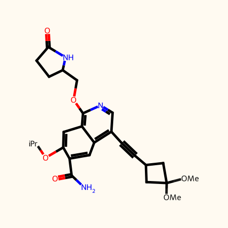 COC1(OC)CC(C#Cc2cnc(OCC3CCC(=O)N3)c3cc(OC(C)C)c(C(N)=O)cc23)C1